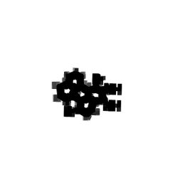 N=c1c(Br)c2c3cccc4cccc(c5c(Br)ccc(c1=N)c52)c43